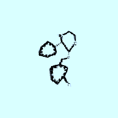 Clc1cccc(CO[C@H]2OCCN[C@H]2c2ccccc2)c1